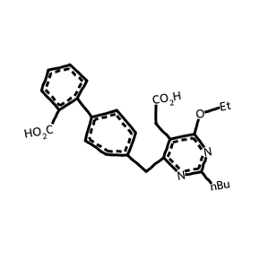 CCCCc1nc(Cc2ccc(-c3ccccc3C(=O)O)cc2)c(CC(=O)O)c(OCC)n1